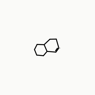 [C]1=CC2CCCCC2CC1